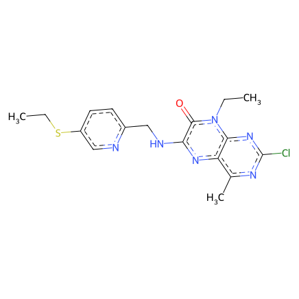 CCSc1ccc(CNc2nc3c(C)nc(Cl)nc3n(CC)c2=O)nc1